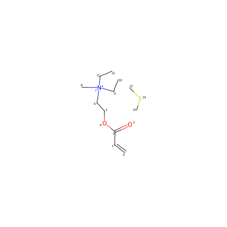 C=CC(=O)OCC[N+](C)(CC)CC.CSC